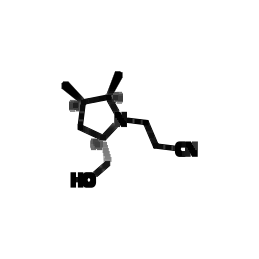 C[C@@H]1C[C@@H](CO)N(CCC#N)[C@@H]1C